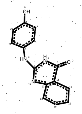 O=c1[nH]c(Nc2ccc(O)cc2)nc2ccccc12